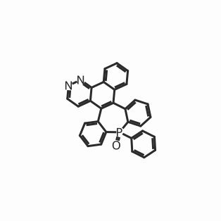 O=P1(c2ccccc2)c2ccccc2-c2c(c3ccnnc3c3ccccc23)-c2ccccc21